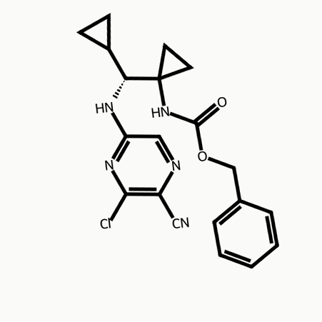 N#Cc1ncc(N[C@H](C2CC2)C2(NC(=O)OCc3ccccc3)CC2)nc1Cl